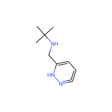 CC(C)(C)NCC1=CC=C=NN1